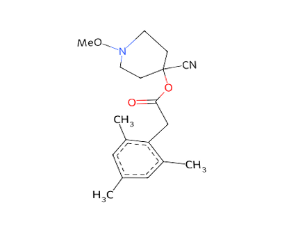 CON1CCC(C#N)(OC(=O)Cc2c(C)cc(C)cc2C)CC1